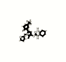 Cc1c(OC(=O)N[C@@H]2CCCC[C@H]2O)cc(-c2cc(C(F)(F)F)ccc2F)n1C[C@H]1CCCO1